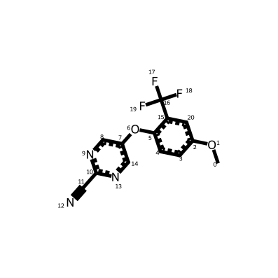 COc1ccc(Oc2cnc(C#N)nc2)c(C(F)(F)F)c1